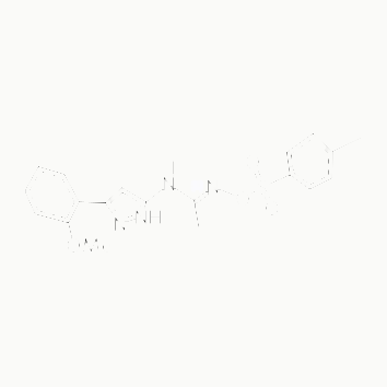 COc1ccccc1-c1cc(N/C(C)=N/OS(=O)(=O)c2ccc(C)cc2)[nH]n1